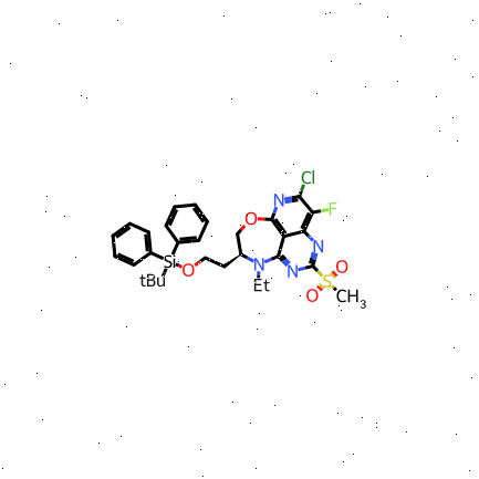 CCN1c2nc(S(C)(=O)=O)nc3c(F)c(Cl)nc(c23)OC[C@@H]1CCO[Si](c1ccccc1)(c1ccccc1)C(C)(C)C